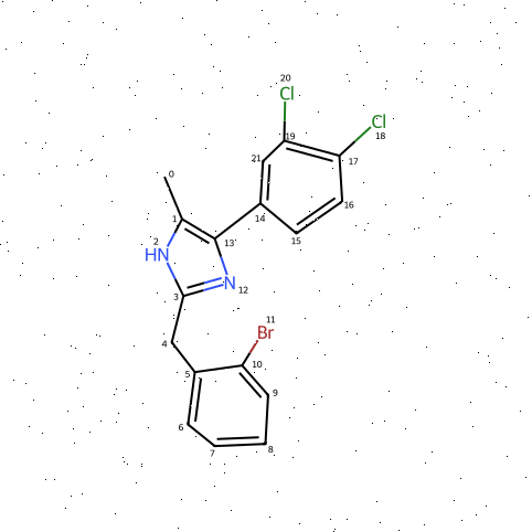 Cc1[nH]c(Cc2ccccc2Br)nc1-c1ccc(Cl)c(Cl)c1